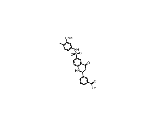 COc1cc(NS(=O)(=O)c2ccc3c(c2)C(=O)CC(c2cccc(C(=O)C(C)C)c2)N3)ccc1C